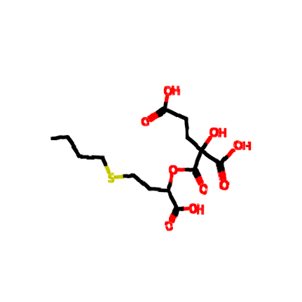 CCCCSCCC(OC(=O)C(O)(CCC(=O)O)C(=O)O)C(=O)O